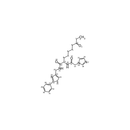 CCC(=O)CCCCCC(NC(=O)Cn1ccnc1)C(=O)NCc1csc(-c2ccccc2)n1